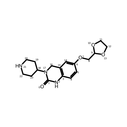 O=C1Nc2ccc(OCC3OCCO3)cc2CN1C1CCNCC1